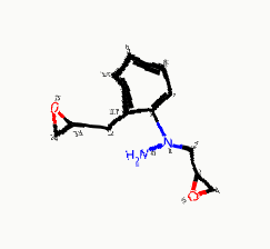 NN(CC1CO1)c1ccccc1CC1CO1